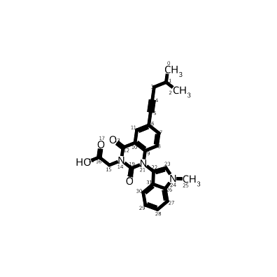 CC(C)CC#Cc1ccc2c(c1)c(=O)n(CC(=O)O)c(=O)n2-c1cn(C)c2ccccc12